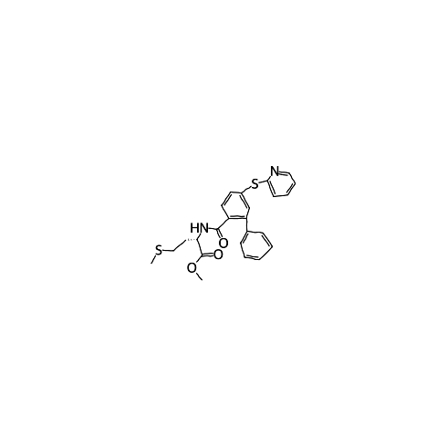 COC(=O)[C@H](CCSC)NC(=O)c1ccc(Sc2ccccn2)cc1-c1ccccc1